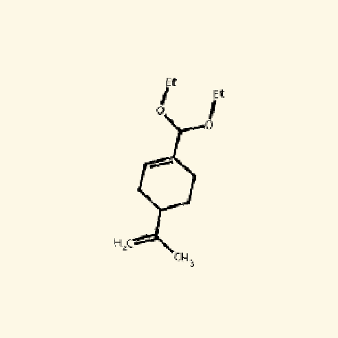 C=C(C)C1CC=C(C(OCC)OCC)CC1